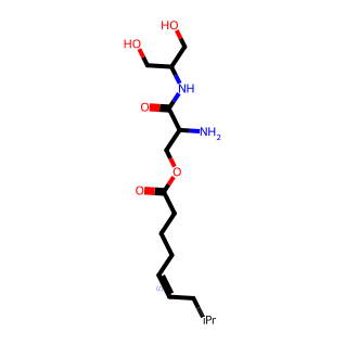 CC(C)C/C=C\CCCC(=O)OCC(N)C(=O)NC(CO)CO